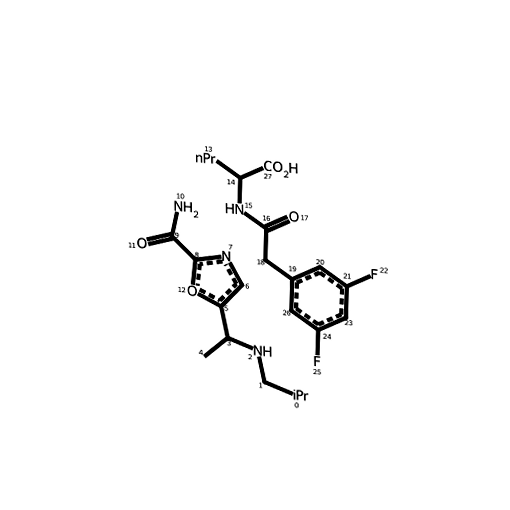 CC(C)CNC(C)c1cnc(C(N)=O)o1.CCCC(NC(=O)Cc1cc(F)cc(F)c1)C(=O)O